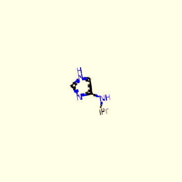 CC(C)Nc1c[nH]cn1